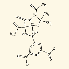 CC(=O)C1(NC(=O)c2cc([N+](=O)[O-])cc([N+](=O)[O-])c2)C(=O)N2[C@@H](C(=O)O)C(C)(C)S[C@@H]21